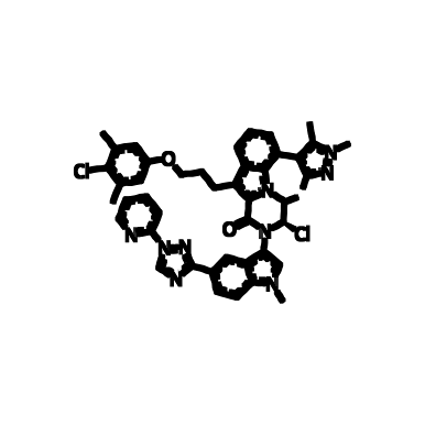 Cc1cc(OCCCc2c3n(c4c(-c5c(C)nn(C)c5C)cccc24)C(C)[C@@H](Cl)N(c2cn(C)c4ccc(-c5ncn(-c6ccccn6)n5)cc24)C3=O)cc(C)c1Cl